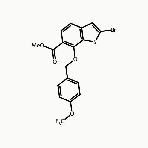 COC(=O)c1ccc2cc(Br)sc2c1OCc1ccc(OC(F)(F)F)cc1